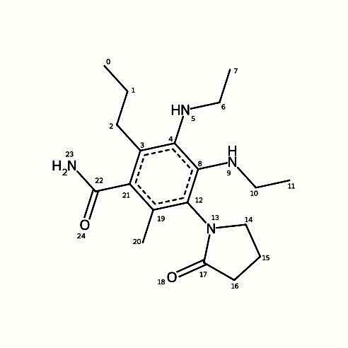 CCCc1c(NCC)c(NCC)c(N2CCCC2=O)c(C)c1C(N)=O